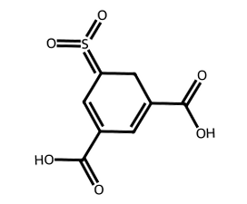 O=C(O)C1=CC(=S(=O)=O)CC(C(=O)O)=C1